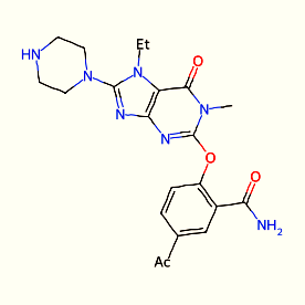 CCn1c(N2CCNCC2)nc2nc(Oc3ccc(C(C)=O)cc3C(N)=O)n(C)c(=O)c21